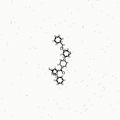 Cc1cc(C(=O)N2CCN(c3cncc(OCc4ccccc4)c3)CC2)n(-c2ccccc2)n1